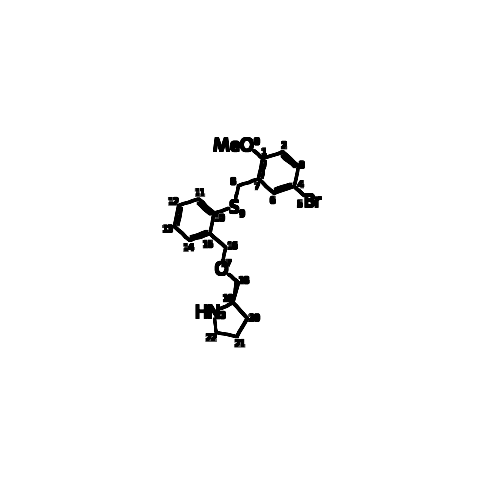 COc1ccc(Br)cc1CSc1ccccc1COC[C@H]1CCCN1